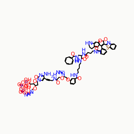 [N-]=[N+]=NCOC1CC(n2cc(C#CCNC(=O)COC(COc3cccc(C(=O)NCCCCCNC(=O)C(CNC(=O)C4=C/C=C\C=C/C=C\4)NC(=O)CCCNC(=O)c4ccccc4-c4c(-c5nc6ccccc6s5)c(=O)oc5cc6c(cc45)CCCN6)c3)N=[N+]=[N-])c(N)nc2=O)OC1COP(=O)(O)OP(=O)(O)OP(=O)(O)O